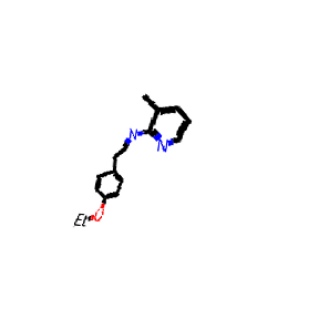 CCOc1ccc(CC=Nc2ncccc2C)cc1